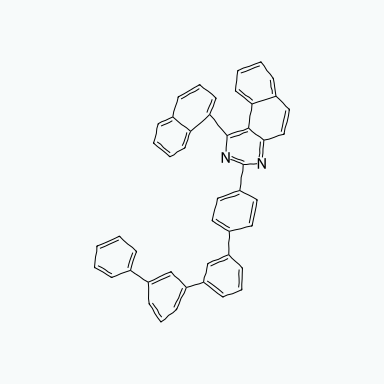 c1ccc(-c2cccc(-c3cccc(-c4ccc(-c5nc(-c6cccc7ccccc67)c6c(ccc7ccccc76)n5)cc4)c3)c2)cc1